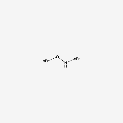 CCCNOCCC